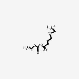 CCOCCCC(=O)OC(=O)OCC